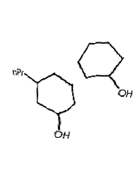 CCCC1CCCC(O)C1.OC1CCCCC1